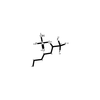 CCCCCC(OP(=O)(O)F)C(F)(F)F